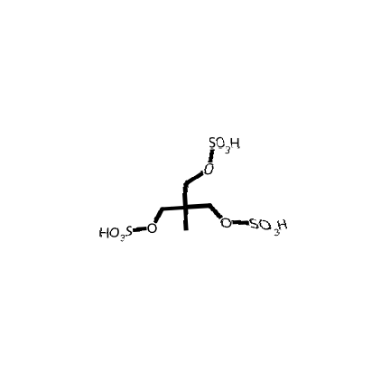 CC(COS(=O)(=O)O)(COS(=O)(=O)O)COS(=O)(=O)O